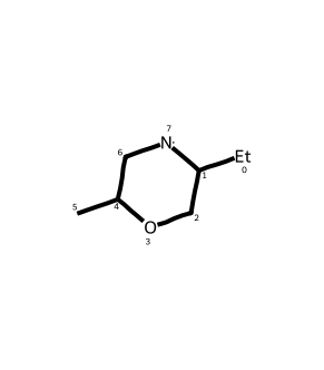 CCC1COC(C)C[N]1